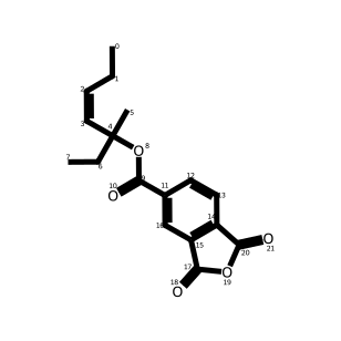 CC/C=C\C(C)(CC)OC(=O)c1ccc2c(c1)C(=O)OC2=O